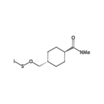 CNC(=O)[C@H]1CC[C@H](COSI)CC1